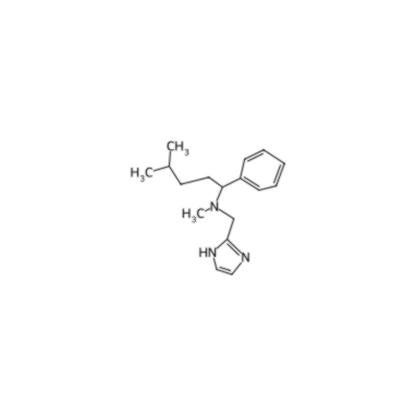 CC(C)CCC(c1ccccc1)N(C)Cc1ncc[nH]1